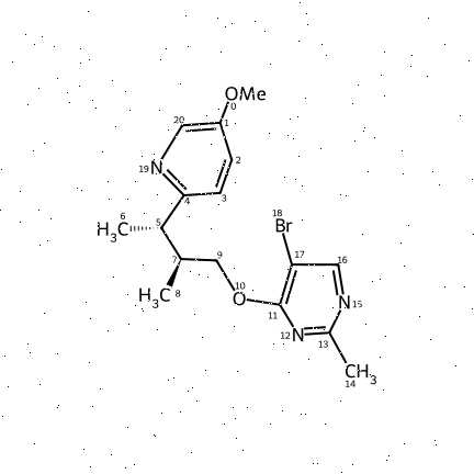 COc1ccc([C@@H](C)[C@H](C)COc2nc(C)ncc2Br)nc1